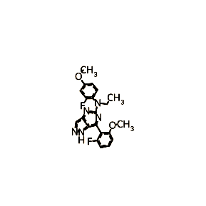 CCN(c1nc(-c2c(F)cccc2OC)c2[nH]ncc2n1)c1ccc(OC)cc1F